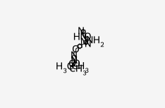 CC(C)(C)OC(=O)N1CCN(CCOc2ccc(-c3cnc(N)c(C(=O)Nc4cccnc4)n3)cc2)CC1